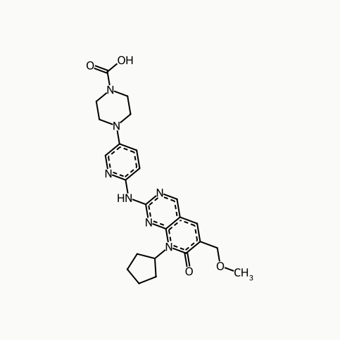 COCc1cc2cnc(Nc3ccc(N4CCN(C(=O)O)CC4)cn3)nc2n(C2CCCC2)c1=O